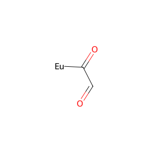 O=C[C](=O)[Eu]